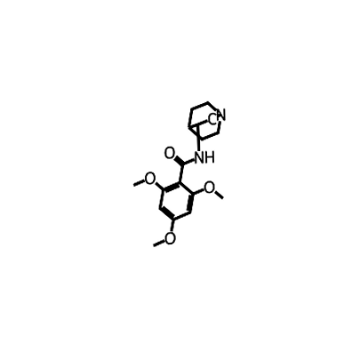 COc1cc(OC)c(C(=O)NC2CN3CCC2CC3)c(OC)c1